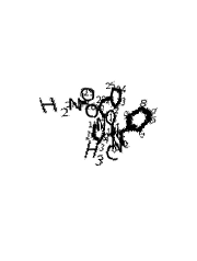 Cn1cc(-c2ccccc2)nc1[C@@H]1CCCN1C(=O)C(CC1CCCC1)OC(N)=O